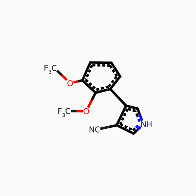 N#Cc1c[nH]cc1-c1cccc(OC(F)(F)F)c1OC(F)(F)F